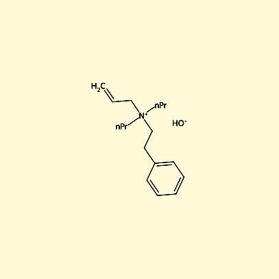 C=CC[N+](CCC)(CCC)CCc1ccccc1.[OH-]